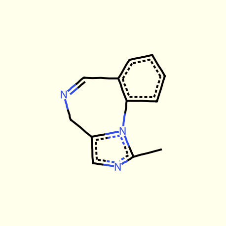 Cc1ncc2n1-c1ccccc1C=NC2